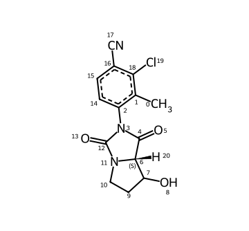 Cc1c(N2C(=O)[C@@H]3C(O)CCN3C2=O)ccc(C#N)c1Cl